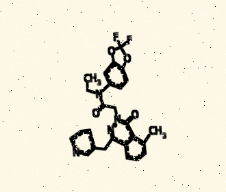 CCN(C(=O)Cn1nc(Cc2cccnc2)c2cccc(C)c2c1=O)c1ccc2c(c1)OC(F)(F)O2